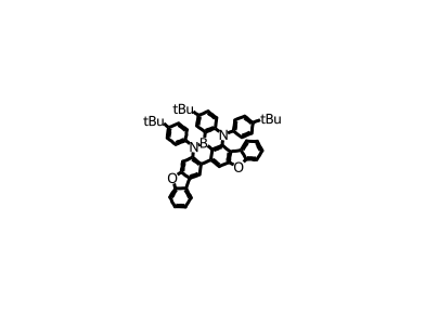 CC(C)(C)c1ccc(N2B3c4cc(C(C)(C)C)ccc4N(c4ccc(C(C)(C)C)cc4)c4c3c(cc3oc5ccccc5c43)-c3cc4c(cc32)oc2ccccc24)cc1